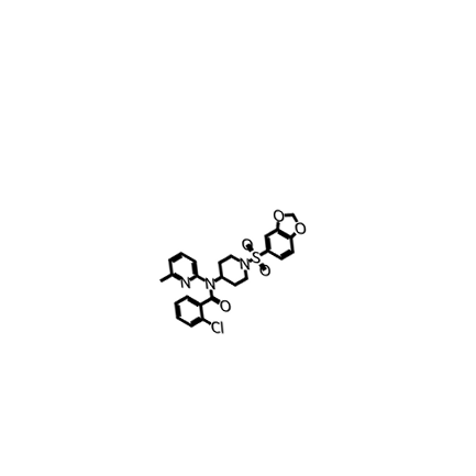 Cc1cccc(N(C(=O)c2ccccc2Cl)C2CCN(S(=O)(=O)c3ccc4c(c3)OCO4)CC2)n1